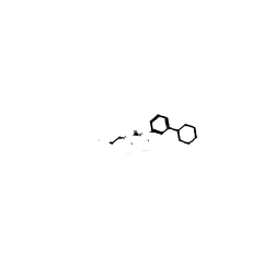 CCCNC(=O)Nc1cccc(C2CCCCC2)c1